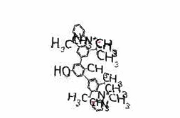 CC=[N+](c1ccccn1)c1c(C(C)C)cc(-c2cc(O)cc(-c3cc(C(C)C)c([N+](=CC)c4ccccn4)c(C(C)C)c3)c2C)cc1C(C)C